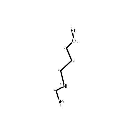 CCOCCCNCC(C)C